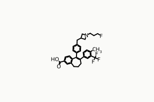 Cc1ccc(C2=C(c3ccc(CC4CN(CCCF)C4)cc3)c3ccc(C(=O)O)cc3CCC2)cc1C(F)(F)F